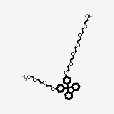 CCOCCOCCOc1ccc(C2(c3ccc(OCCOCCOCCOCCOCCOCCO)cc3)c3ccccc3-c3ccccc32)cc1